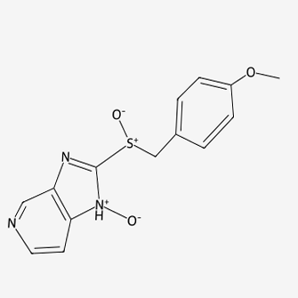 COc1ccc(C[S+]([O-])C2=Nc3cnccc3[NH+]2[O-])cc1